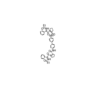 CCC(=O)N[C@@H](C(=O)N1CCC[C@H]1C(=O)Nc1ccc(-c2ccc(NC(=O)[C@@H]3CCCN3C(=O)[C@H](NC(=O)CC)c3ccccc3)cc2)cc1)c1ccccc1